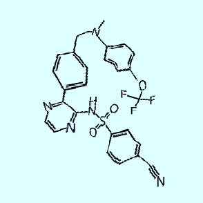 CN(Cc1ccc(-c2nccnc2NS(=O)(=O)c2ccc(C#N)cc2)cc1)c1ccc(OC(F)(F)F)cc1